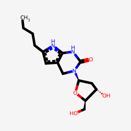 CCCCc1cc2c([nH]1)NC(=O)N([C@H]1C[C@H](O)[C@@H](CO)O1)C2